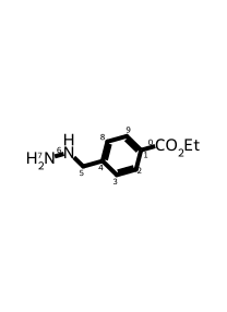 CCOC(=O)c1ccc(CNN)cc1